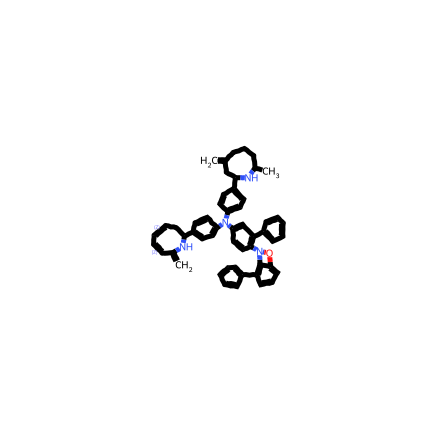 C=C1CCCC(C)NC(c2ccc(N(c3ccc(C4C/C=C\C=C/C(=C)N4)cc3)c3ccc(-n4oc5cccc(-c6ccccc6)c54)c(-c4ccccc4)c3)cc2)C1